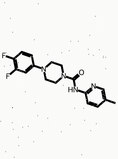 Cc1ccc(NC(=O)N2CCN(c3ccc(F)c(F)c3)CC2)nc1